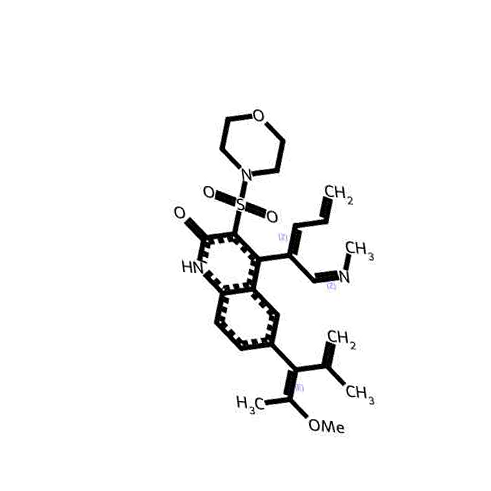 C=C/C=C(\C=N/C)c1c(S(=O)(=O)N2CCOCC2)c(=O)[nH]c2ccc(/C(C(=C)C)=C(\C)OC)cc12